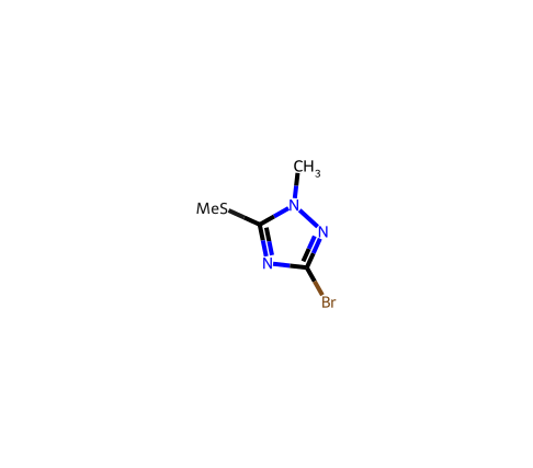 CSc1nc(Br)nn1C